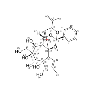 C=C(C)C1O[C@@]2(c3ccccc3)O[C@H]3C1C[C@@H](C)[C@@]1(O2)C3[C@H](O)[C@@](O)(CO)[C@@H](O)[C@@]2(O)C1C=C(C)[C@@H]2O